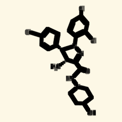 C[C@H]1C(C(=O)NN2CCC(O)CC2)=NN(c2ccc(Cl)cc2Cl)[C@H]1c1ccc(Cl)cc1